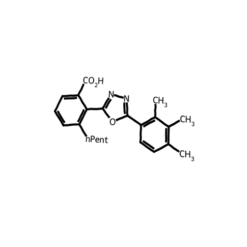 CCCCCc1cccc(C(=O)O)c1-c1nnc(-c2ccc(C)c(C)c2C)o1